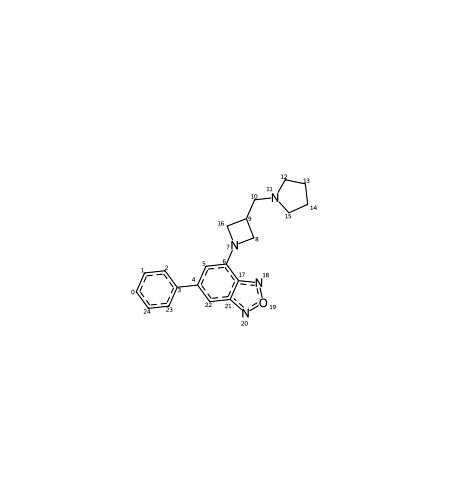 c1ccc(-c2cc(N3CC(CN4CCCC4)C3)c3nonc3c2)cc1